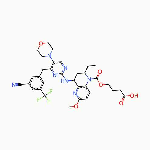 CC[C@@H]1C[C@H](Nc2ncc(N3CCOCC3)c(Cc3cc(C#N)cc(C(F)(F)F)c3)n2)c2nc(OC)ccc2N1C(=O)OCCCC(=O)O